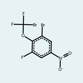 O=[N+]([O-])c1cc(F)c(OC(F)(F)Br)c(Br)c1